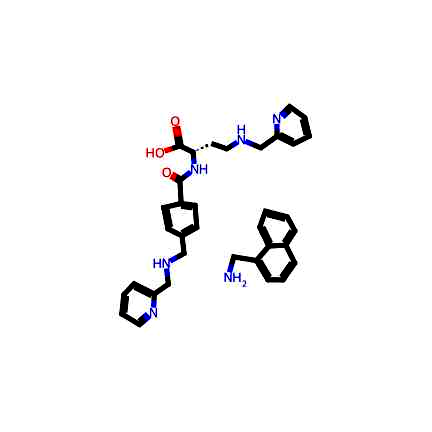 NCc1cccc2ccccc12.O=C(N[C@@H](CCNCc1ccccn1)C(=O)O)c1ccc(CNCc2ccccn2)cc1